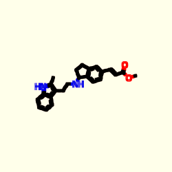 COC(=O)/C=C/c1ccc2c(c1)CCC2NCCc1c(C)[nH]c2ccccc12